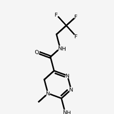 CN1CC(C(=O)NCC(F)(F)F)=NN=C1N